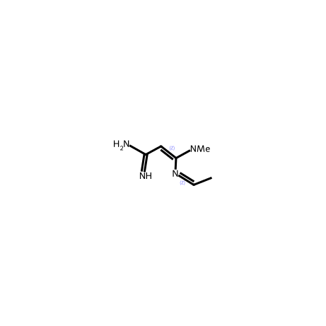 C/C=N\C(=C/C(=N)N)NC